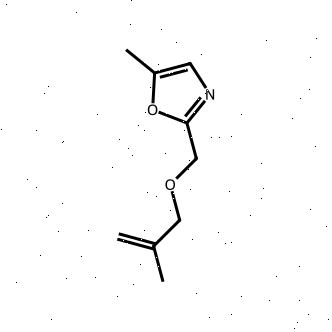 C=C(C)COCc1ncc(C)o1